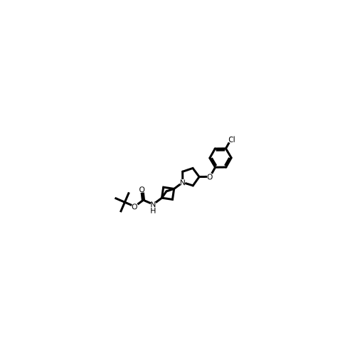 CC(C)(C)OC(=O)NC12CC(N3CCC(Oc4ccc(Cl)cc4)C3)(C1)C2